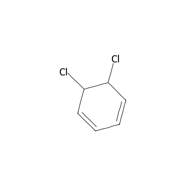 ClC1C=CC=CC1Cl